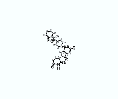 O=C1CCC(N2Cc3c(cc(F)cc3N3CCN(S(=O)(=O)c4ccccc4F)CC3)C2=O)C(=O)N1